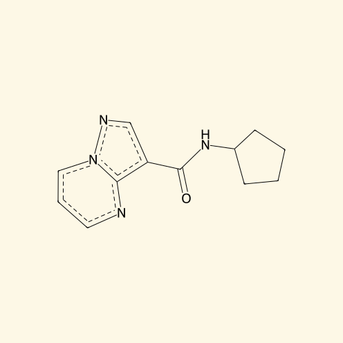 O=C(NC1CCCC1)c1cnn2cccnc12